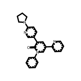 O=c1c(-c2ccc(N3CCCC3)nc2)cc(-c2ccccn2)cn1-c1ccccc1